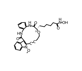 COn1c2c(c3ccccc31)C(=O)Nc1ccccc1NC(=O)[C@H](CCCCCC(=O)NO)OCCCC2